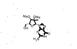 CO[C@@H]1[C@@H](CO)O[C@@H](n2cnc3c(=O)[nH]c(N)nc32)[C@]1(C)OC